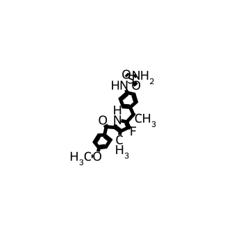 COc1ccc(C(=O)c2[nH]c(C(C)c3ccc(NS(N)(=O)=O)cc3)c(F)c2C)cc1